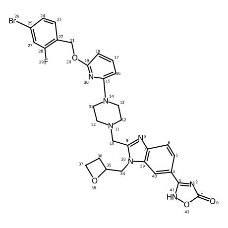 O=c1nc(-c2ccc3nc(CN4CCN(c5cccc(OCc6ccc(Br)cc6F)n5)CC4)n(CC4CCO4)c3c2)[nH]o1